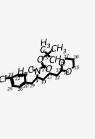 CN(C(=O)OC(C)(C)C)C(CCCC1OCCCO1)Cc1ccc(Cl)cc1